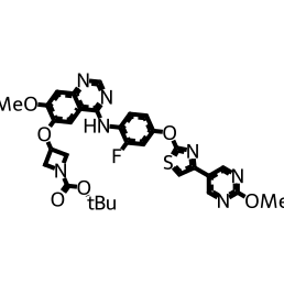 COc1ncc(-c2csc(Oc3ccc(Nc4ncnc5cc(OC)c(OC6CN(C(=O)OC(C)(C)C)C6)cc45)c(F)c3)n2)cn1